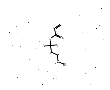 C=CC(=O)OC(C)(C)CCOCC